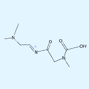 CN(C)C/C=N/C(=O)CN(C)C(=O)O